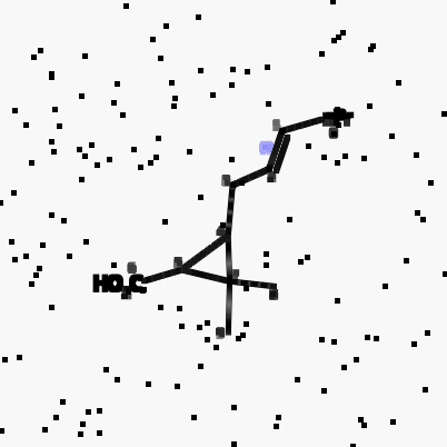 CCC/C=C/CC1C(C(=O)O)C1(C)C